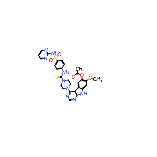 COc1cc2c(cc1OC(C)=O)C1C(N3CCN(C(=S)Nc4ccc(S(=O)(=O)Nc5ncccn5)cc4)CC3)=NC=NC1N2